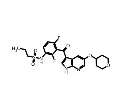 CCCS(=O)(=O)Nc1ccc(F)c(C(=O)c2c[nH]c3ncc(OC4CCOCC4)cc23)c1F